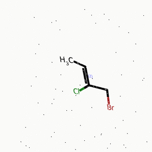 C/C=C(\Cl)CBr